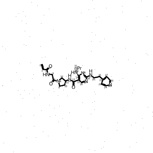 C=CC(=O)NCC(=O)N1CCC(NC(=O)c2cnc(NCCc3ccncc3)nc2NCCC)C1